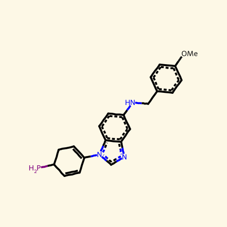 COc1ccc(CNc2ccc3c(c2)ncn3C2=CCC(P)C=C2)cc1